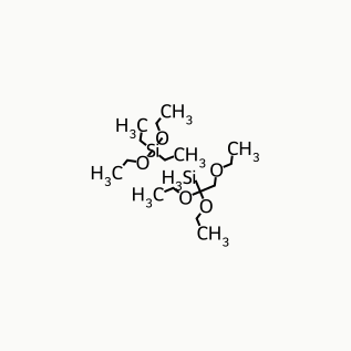 CCOCC([SiH3])(OCC)OCC.CCO[Si](CC)(CC)OCC